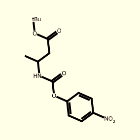 CC(CC(=O)OC(C)(C)C)NC(=O)Oc1ccc([N+](=O)[O-])cc1